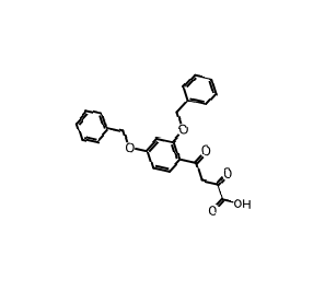 O=C(O)C(=O)CC(=O)c1ccc(OCc2ccccc2)cc1OCc1ccccc1